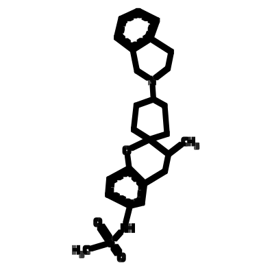 CC1Cc2cc(NS(C)(=O)=O)ccc2OC12CCC(N1CCc3ccccc3C1)CC2